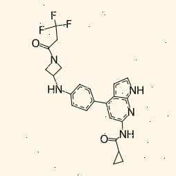 O=C(Nc1cc(-c2ccc(NC3CN(C(=O)CC(F)(F)F)C3)cc2)c2cc[nH]c2n1)C1CC1